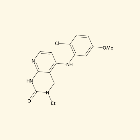 CCN1Cc2c(Nc3cc(OC)ccc3Cl)ccnc2NC1=O